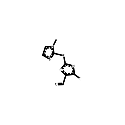 Cn1ccnc1Sc1nc(Cl)c(C=O)s1